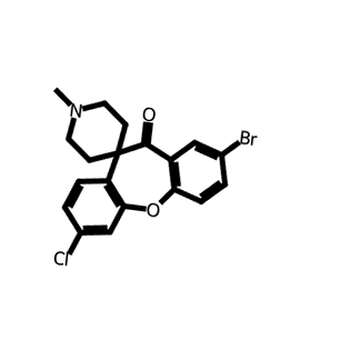 CN1CCC2(CC1)C(=O)c1cc(Br)ccc1Oc1cc(Cl)ccc12